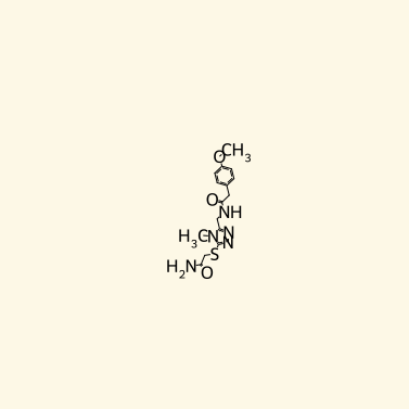 COc1ccc(CC(=O)NCc2nnc(SCC(N)=O)n2C)cc1